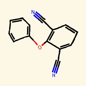 N#Cc1cccc(C#N)c1Oc1c[c]ccc1